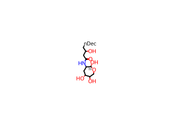 CCCCCCCCCCCC(O)CC(=O)NC1CC(O)C(O)CO[C@@H]1O